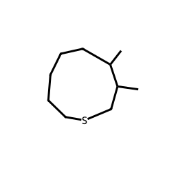 CC1CCCCCSCC1C